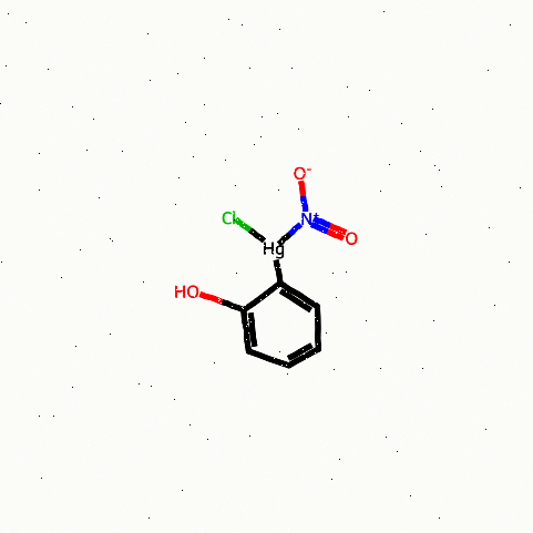 O=[N+]([O-])[Hg]([Cl])[c]1ccccc1O